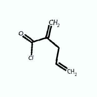 C=CCC(=C)C(=O)Cl